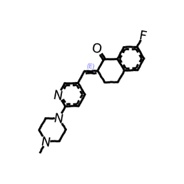 CN1CCN(c2ccc(/C=C3\CCc4ccc(F)cc4C3=O)cn2)CC1